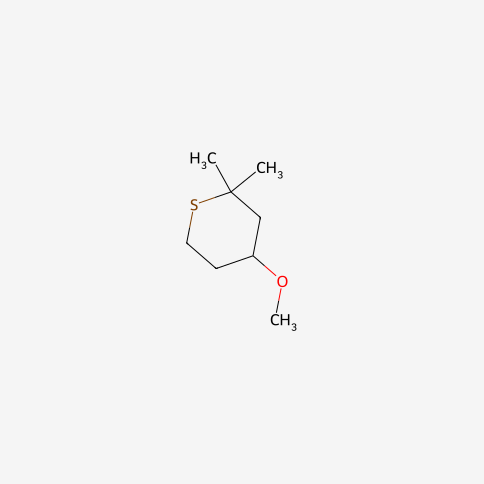 COC1CCSC(C)(C)C1